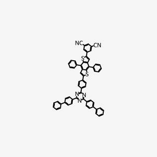 N#Cc1cc(C#N)cc(-c2cc3c(-c4ccccc4)c4sc(-c5ccc(-c6nc(-c7ccc(-c8ccccc8)cc7)nc(-c7ccc(-c8ccccc8)cc7)n6)cc5)cc4c(-c4ccccc4)c3s2)c1